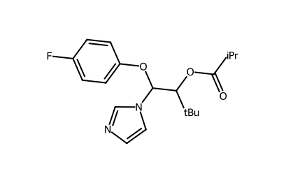 CC(C)C(=O)OC(C(Oc1ccc(F)cc1)n1ccnc1)C(C)(C)C